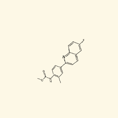 COC(=O)Nc1ccc(-c2ccc3cc(F)ccc3n2)cc1C